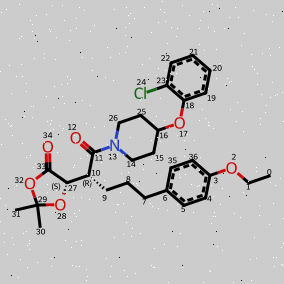 CCOc1ccc(CCC[C@@H](C(=O)N2CCC(Oc3ccccc3Cl)CC2)[C@@H]2OC(C)(C)OC2=O)cc1